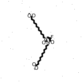 COC(=O)CCCCCCCCCCCn1cc(F)c(=O)n(CCCCCCCCCCCC(=O)OC)c1=O